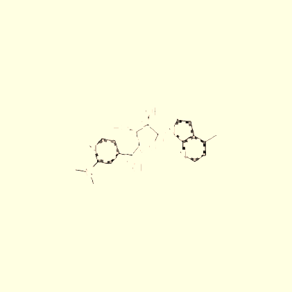 Cc1ccnc2c1ccn2[C@@H]1O[C@H]([C@H](O)c2ccnc(N(C)C)c2)[C@@H](O)[C@H]1O